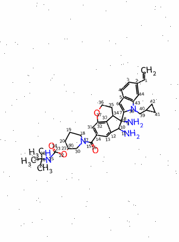 C=Cc1ccc2cc([C@]3(N)C(N)c4cc(C(=O)N5CCC[C@@H](OC(=O)NC(C)(C)C)C5)cc5c4C3CCO5)n(CC3CC3)c2c1